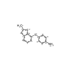 Cc1cc2nccc(Sc3ccc(N)cc3)c2s1